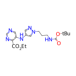 CCOC(=O)c1ncncc1Nc1cnn(CCCNC(=O)OC(C)(C)C)c1